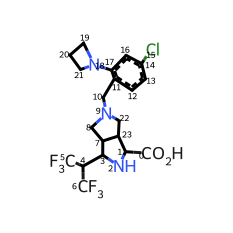 O=C(O)C1NC(C(C(F)(F)F)C(F)(F)F)C2CN(Cc3ccc(Cl)cc3N3CCC3)CC12